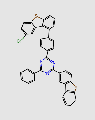 Brc1ccc2sc3cccc(-c4ccc(-c5nc(-c6ccccc6)nc(-c6ccc7sc8c(c7c6)C=CCC8)n5)cc4)c3c2c1